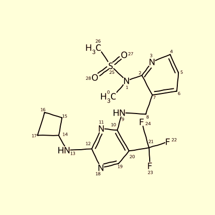 CN(c1ncccc1CNc1nc(NC2CCC2)ncc1C(F)(F)F)S(C)(=O)=O